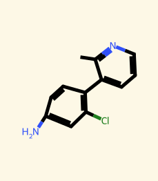 Cc1ncccc1-c1ccc(N)cc1Cl